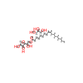 CCCCCCCC/C=C\CCCCCCCC(=O)OC[C@@H](O)[C@H]1OC[C@H](O)[C@H]1O.OCC(O)CO